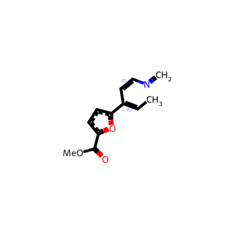 C=N/C=C\C(=C/C)c1ccc(C(=O)OC)o1